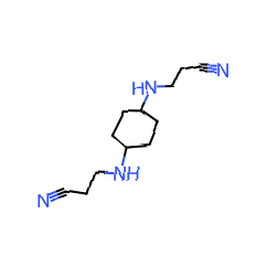 N#CCCNC1CCC(NCCC#N)CC1